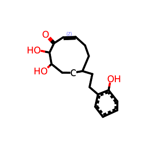 O=C1/C=C\CCC(CCc2ccccc2O)CCC(O)C1O